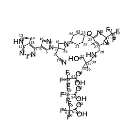 N#CCC1(n2cc(-c3ncnc4[nH]ccc34)cn2)CN([C@H]2CC[C@@H](Oc3cc(CNCC4(CO)CC4)nc(C(F)(F)F)n3)CC2)C1.O=C(O)C(F)(F)F.O=C(O)C(F)(F)F.O=C(O)C(F)(F)F